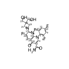 NC(=O)c1cn(-c2c(F)cc(F)cc2F)c2nc(N3CC(CO)(CO)C3)c(F)cc2c1=O